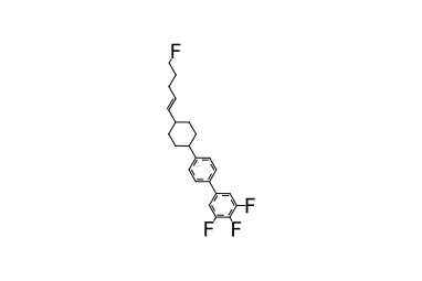 FCCCC=CC1CCC(c2ccc(-c3cc(F)c(F)c(F)c3)cc2)CC1